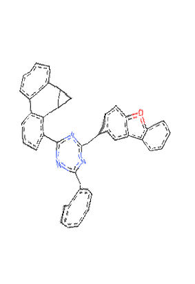 c1ccc(-c2nc(-c3ccc4oc5ccccc5c4c3)nc(-c3cccc4c3C3CC3c3ccccc3-4)n2)cc1